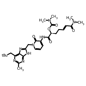 Cc1nc(CC(C)(C)C)c2nc(Cn3cccc(NC(=O)[C@H](CC/C=C/C(=O)N(C)C)OC(=O)N(C)C)c3=O)[nH]c2n1